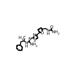 CC(Cc1ccccc1)NC(N)=Nc1nc(-c2ccc(CNC(N)=O)o2)cs1